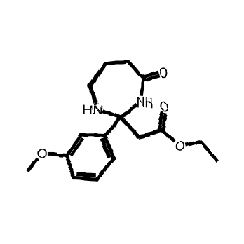 CCOC(=O)CC1(c2cccc(OC)c2)NCCCC(=O)N1